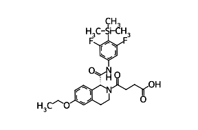 CCOc1ccc2c(c1)CCN(C(=O)CCC(=O)O)[C@H]2C(=O)Nc1cc(F)c([Si](C)(C)C)c(F)c1